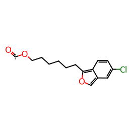 O=[C]OCCCCCCc1occ2cc(Cl)ccc12